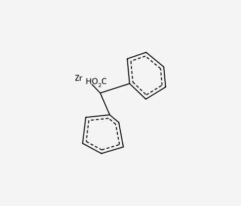 O=C(O)C(c1ccccc1)c1ccccc1.[Zr]